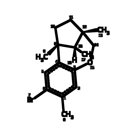 Cc1cc2c(cc1Br)[C@]1(C)CC[C@](C)(CO2)[C@@H]1C